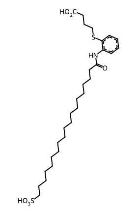 O=C(O)CCCSc1ccccc1NC(=O)CCCCCCCCCCCCCCCCCCS(=O)(=O)O